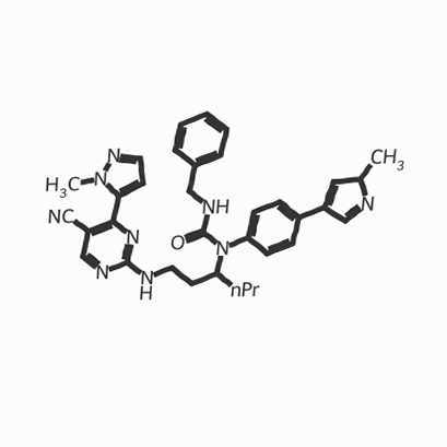 CCCC(CCNc1ncc(C#N)c(-c2ccnn2C)n1)N(C(=O)NCc1ccccc1)c1ccc(C2=CC(C)N=C2)cc1